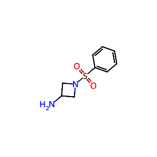 NC1CN(S(=O)(=O)c2ccccc2)C1